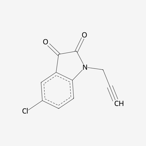 C#CCN1C(=O)C(=O)c2cc(Cl)ccc21